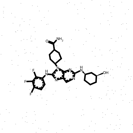 NC(=O)C1CCC(n2c(Nc3ccc(F)c(F)c3F)nc3cnc(N[C@@H]4CCC[C@H](O)C4)nc32)CC1